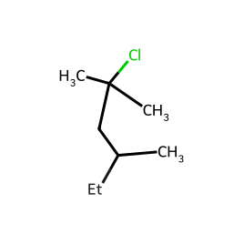 CCC(C)CC(C)(C)Cl